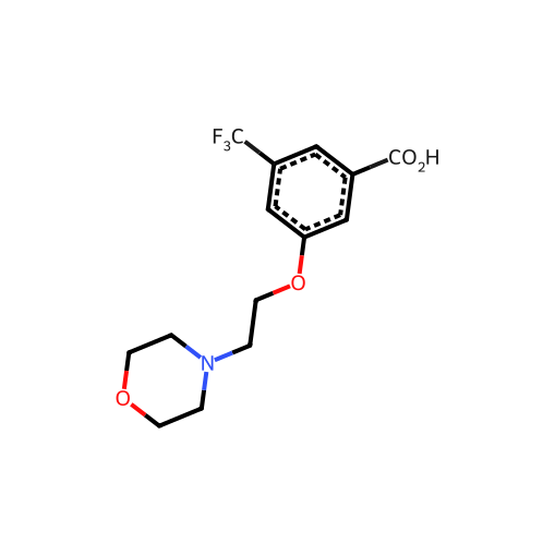 O=C(O)c1cc(OCCN2CCOCC2)cc(C(F)(F)F)c1